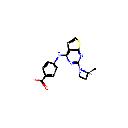 C[C@H]1CCN1c1nc(Nc2ccc(C(=O)O)cc2)c2ccsc2n1